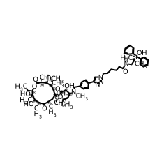 CC[C@H]1OC(=O)[C@H](C)[C@@H](OC)[C@H](C)[C@@H](O[C@@H]2O[C@H](C)C[C@H](N(C)Cc3ccc(-c4cn(CCCCCC(=O)NCC(C)(C)[Si](O)(c5ccccc5)c5ccccc5)nn4)cc3)[C@H]2O)[C@](C)(OC)C[C@@H](C)C(=O)[C@H](C)[C@@H](O)[C@]1(C)O